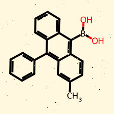 Cc1ccc2c(B(O)O)c3ccccc3c(-c3ccccc3)c2c1